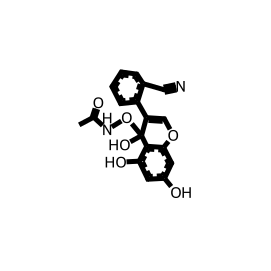 CC(=O)NOC1(O)C(c2ccccc2C#N)=COc2cc(O)cc(O)c21